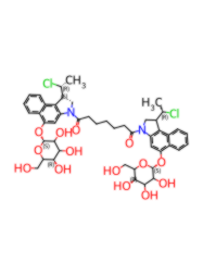 C[C@@H](Cl)C1CN(C(=O)CCCCCC(=O)N2C[C@@H]([C@@H](C)Cl)c3c2cc(O[C@@H]2OC(CO)[C@H](O)C(O)C2O)c2ccccc32)c2cc(O[C@@H]3OC(CO)[C@H](O)C(O)C3O)c3ccccc3c21